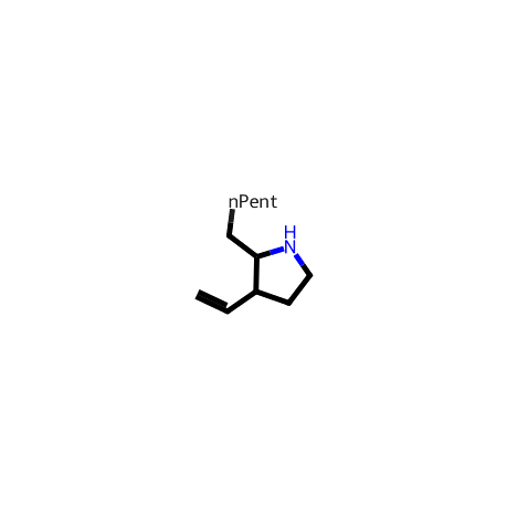 C=CC1CCNC1CCCCCC